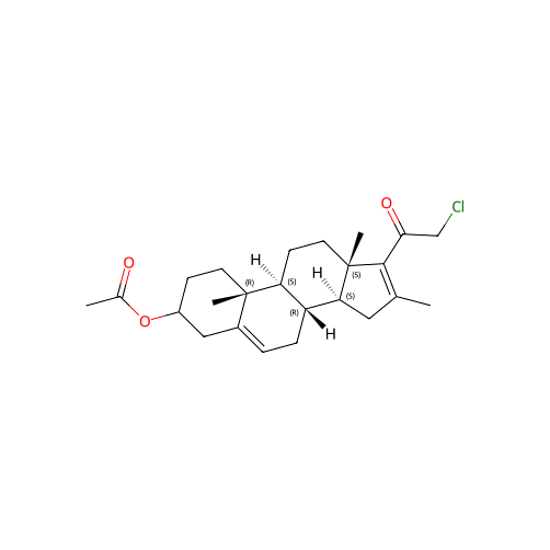 CC(=O)OC1CC[C@@]2(C)C(=CC[C@@H]3[C@@H]2CC[C@]2(C)C(C(=O)CCl)=C(C)C[C@@H]32)C1